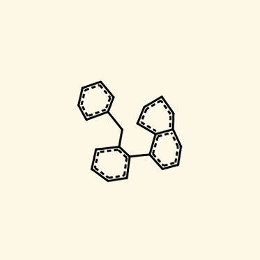 c1ccc(Cc2ccccc2-c2cccc3ccccc23)cc1